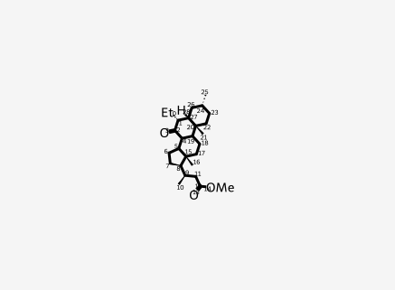 CC[C@H]1C(=O)C2C3CC[C@H]([C@H](C)CC(=O)OC)[C@@]3(C)CCC2[C@@]2(C)CC[C@@H](C)C[C@@H]12